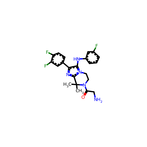 CC1(C)c2nc(-c3ccc(F)c(F)c3)c(Nc3cccc(F)c3)n2CCN1C(=O)CN